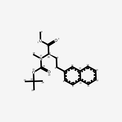 COC(=O)[C@@H](CCc1ccc2ccccc2c1)N(C)C(=O)OC(C)(C)C